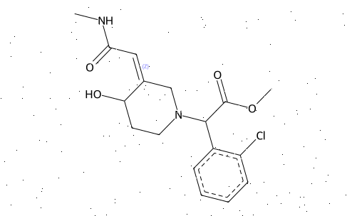 CNC(=O)/C=C1/CN(C(C(=O)OC)c2ccccc2Cl)CCC1O